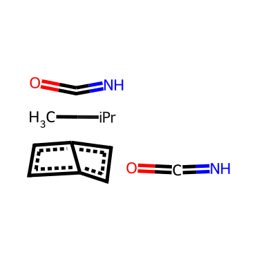 CC(C)C.N=C=O.N=C=O.c1cc2ccc1-2